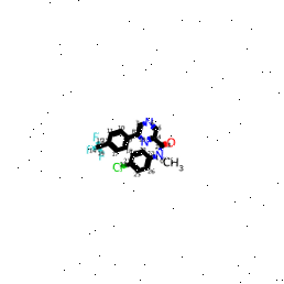 CN(C(=O)c1cncc(-c2ccc(C(F)(F)F)cc2)n1)c1ccc(Cl)cc1